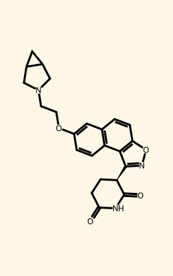 O=C1CC[C@@H](c2noc3ccc4cc(OCCN5CC6CC6C5)ccc4c23)C(=O)N1